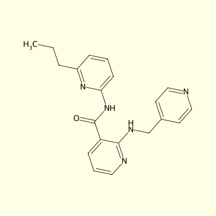 CCCc1cccc(NC(=O)c2cccnc2NCc2ccncc2)n1